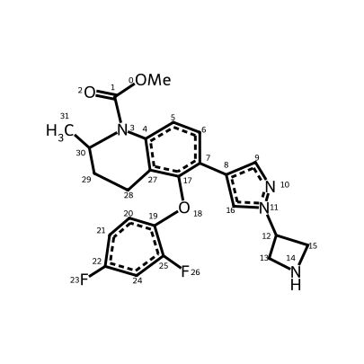 COC(=O)N1c2ccc(-c3cnn(C4CNC4)c3)c(Oc3ccc(F)cc3F)c2CCC1C